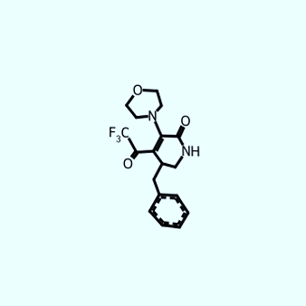 O=C1NCC(Cc2ccccc2)C(C(=O)C(F)(F)F)=C1N1CCOCC1